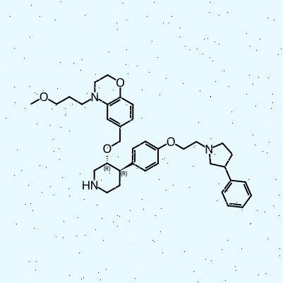 COCCCN1CCOc2ccc(CO[C@H]3CNCC[C@@H]3c3ccc(OCCN4CCC(c5ccccc5)C4)cc3)cc21